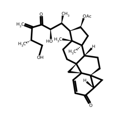 C=C(C(=O)[C@H](O)[C@@H](C)[C@H]1[C@@H](OC(C)=O)C[C@@]2(C)[C@@H]3CC[C@@]45C[C@@H]4C(=O)C=C[C@@]54C[C@@]34CC[C@]12C)[C@@H](C)CO